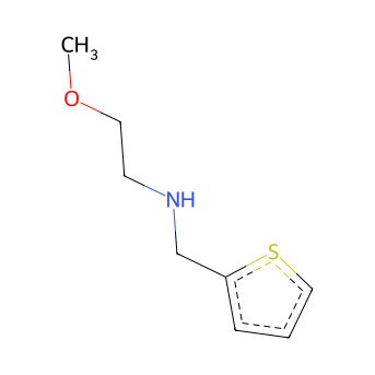 COCCNCc1cccs1